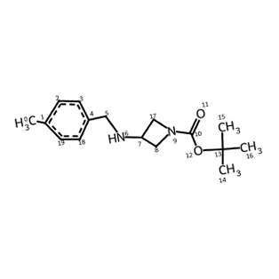 Cc1ccc(CNC2CN(C(=O)OC(C)(C)C)C2)cc1